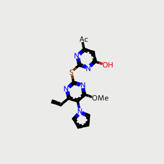 C=Cc1nc(Sc2nc(O)cc(C(C)=O)n2)nc(OC)c1-n1cccc1